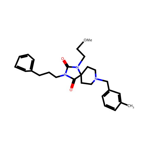 COCCN1C(=O)N(CCCc2ccccc2)C(=O)C12CCN(Cc1cccc(C)c1)CC2